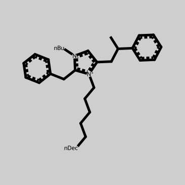 CCCCCCCCCCCCCCC[n+]1c(CC(C)c2ccccc2)cn(CCCC)c1Cc1ccccc1